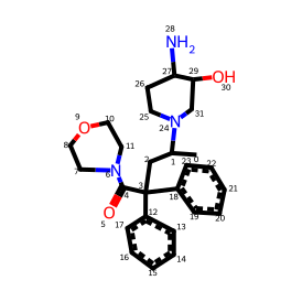 CC(CC(C(=O)N1CCOCC1)(c1ccccc1)c1ccccc1)N1CCC(N)C(O)C1